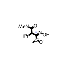 CNC(=O)C(/C(=N/O)[S+](C)[O-])C(C)C